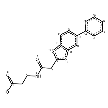 O=C(O)CCNC(=O)Cc1nc2cc(-c3ccccc3)ccc2s1